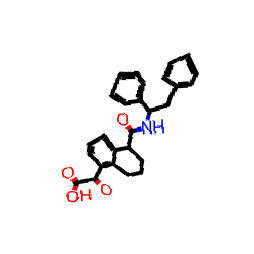 O=C(O)C(=O)c1cccc2c1CCCC2C(=O)NC(Cc1ccccc1)c1ccccc1